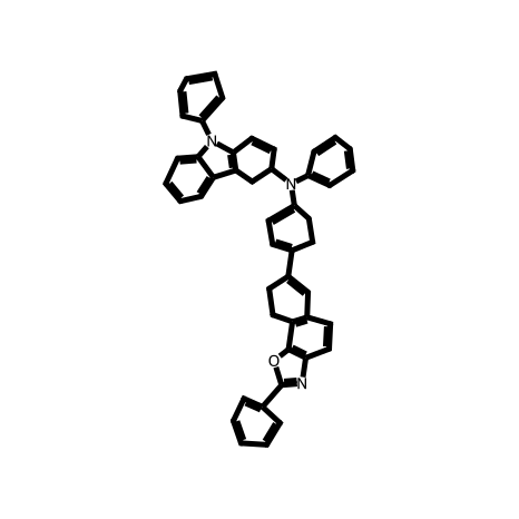 C1=CC(N(C2=CC=C(C3=Cc4ccc5nc(-c6ccccc6)oc5c4CC3)CC2)c2ccccc2)Cc2c1n(-c1ccccc1)c1ccccc21